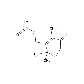 CCC(=O)/C=C/C1=C(C)C(=O)CCC1(C)C